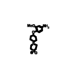 COc1cc(N)ccc1OC1CCC(N2CCS(=O)(=O)CC2)CC1